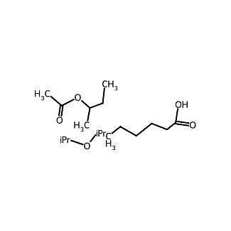 CC(C)OC(C)C.CCC(C)OC(C)=O.CCCCCC(=O)O